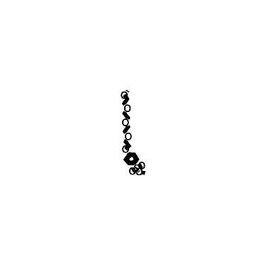 COCCOCCOCCOCCOc1ccc(S(=O)(=O)OC)cc1